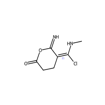 CN/C(Cl)=C1/CCC(=O)OC1=N